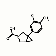 Cc1ccc(C23CC2CN(C(=O)O)C3)cc1Cl